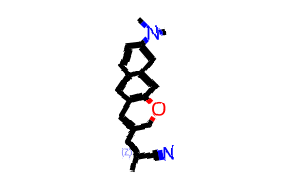 C/C(C#N)=C/C1=Cc2cc3ccc(N(C)C)cc3cc2OC1